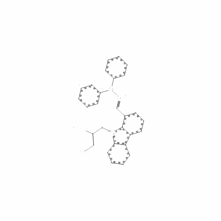 CC(=O)OC(CCl)Cn1c2ccccc2c2cccc(C=NN(c3ccccc3)c3ccccc3)c21